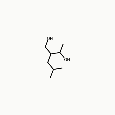 CC(C)CC(CO)C(C)O